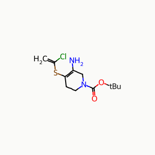 C=C(Cl)SC1=C(N)CN(C(=O)OC(C)(C)C)CC1